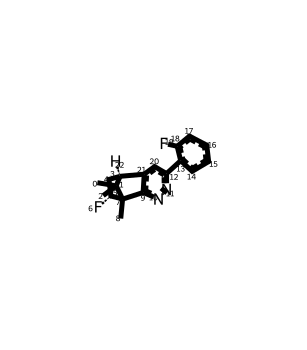 CC1(C)[C@H]2C[C@@H](F)C1(C)c1nnc(-c3ccccc3F)cc12